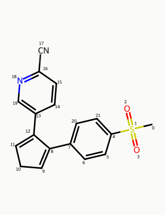 CS(=O)(=O)c1ccc(C2=CCC=C2c2ccc(C#N)nc2)cc1